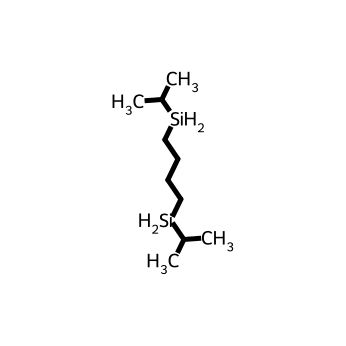 CC(C)[SiH2]CCCC[SiH2]C(C)C